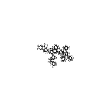 CC1(C)c2ccccc2-c2ccc(-c3cc(-c4ccc5c(c4)C(C)(C)c4ccccc4-5)c4cc(-c5ccc(-n6c(-c7ccccc7)cc(-c7ccccc7)c6-c6ccccc6)cc5)c5ccccc5c4n3)cc21